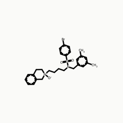 Cc1cc(C)cc(CN(CCCC[N+]2([O-])CCc3ccccc3C2)S(=O)(=O)c2ccc(Br)cc2)c1